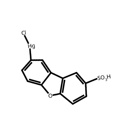 O=S(=O)(O)c1ccc2oc3cc[c]([Hg][Cl])cc3c2c1